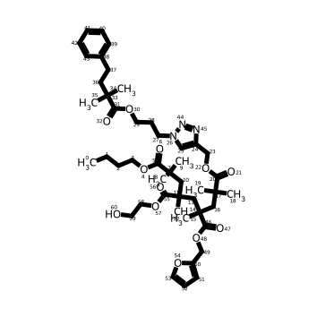 CCCCOC(=O)C(C)(C)CC(C)(CC(C)(CC(C)(C)C(=O)OCc1cn(CCCOC(=O)C(C)(C)CCc2ccccc2)nn1)C(=O)OCc1ccco1)C(=O)OCCO